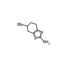 CC(C)(C)C1CCc2nc(N)sc2C1